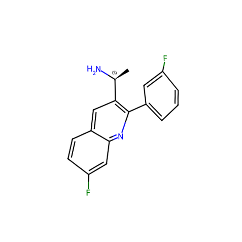 C[C@H](N)c1cc2ccc(F)cc2nc1-c1cccc(F)c1